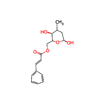 CC1C[C@@H](O)OC(COC(=O)/C=C/c2ccccc2)[C@H]1O